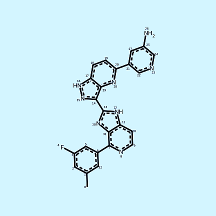 Cc1cc(F)cc(-c2nccc3[nH]c(-c4n[nH]c5ccc(-c6cncc(N)c6)nc45)nc23)c1